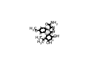 COc1ccc(-n2c(C(N)=O)nnc2-c2cc(C(C)C)c(O)cc2O)cc1